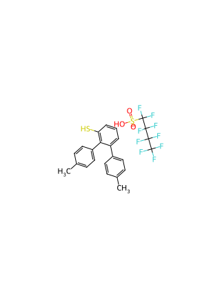 Cc1ccc(-c2cccc(S)c2-c2ccc(C)cc2)cc1.O=S(=O)(O)C(F)(F)C(F)(F)C(F)(F)C(F)(F)F